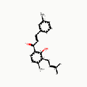 COc1ccc(C(=O)C=Cc2cccc([N+](=O)[O-])c2)c(O)c1CC=C(C)C